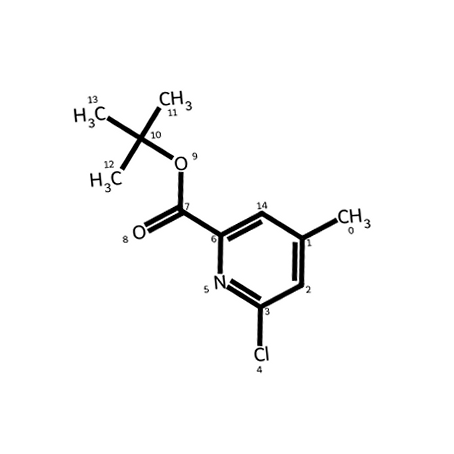 Cc1cc(Cl)nc(C(=O)OC(C)(C)C)c1